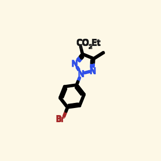 CCOC(=O)c1nn(-c2ccc(Br)cc2)nc1C